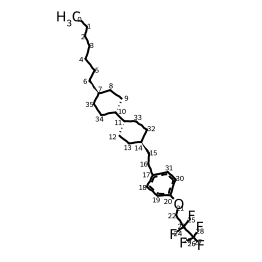 CCCCCCC[C@H]1CC[C@H]([C@H]2CC[C@H](CCc3ccc(OCC(F)(F)C(F)(F)F)cc3)CC2)CC1